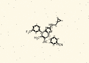 [C-]#[N+]C1=C(C)N(c2cccc(C(F)(F)F)c2)c2nc(NCC3CC3)nn2[C@@H]1c1ccc(C#N)cc1